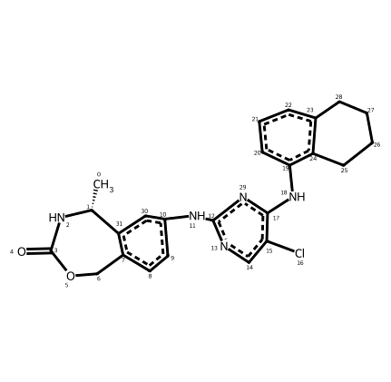 C[C@H]1NC(=O)OCc2ccc(Nc3ncc(Cl)c(Nc4cccc5c4CCCC5)n3)cc21